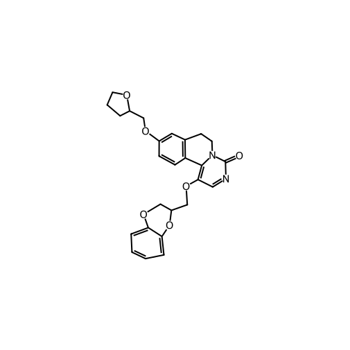 O=c1ncc(OCC2COc3ccccc3O2)c2n1CCc1cc(OCC3CCCO3)ccc1-2